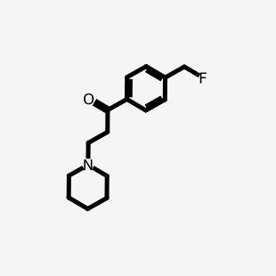 O=C(CCN1CCCCC1)c1ccc(CF)cc1